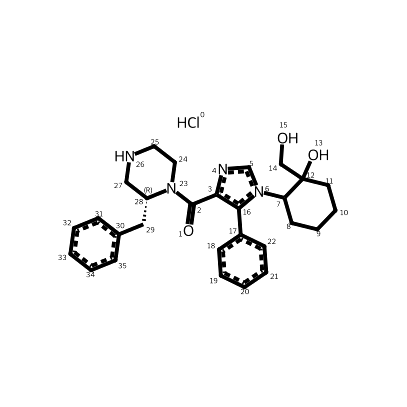 Cl.O=C(c1ncn(C2CCCCC2(O)CO)c1-c1ccccc1)N1CCNC[C@H]1Cc1ccccc1